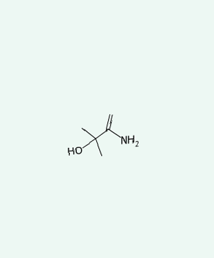 C=C(N)C(C)(C)O